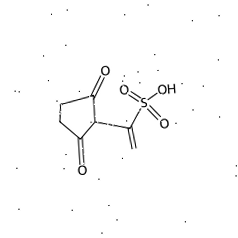 C=C([C]1C(=O)CCC1=O)S(=O)(=O)O